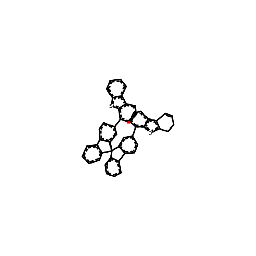 C1=Cc2c(oc3c(-c4ccc5c(c4)C4(c6ccccc6-5)c5ccccc5-c5ccc(-c6cccc7c6sc6ccccc67)cc54)cccc23)CC1